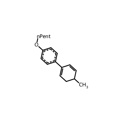 CCCCCOc1ccc(C2=CCC(C)C=C2)cc1